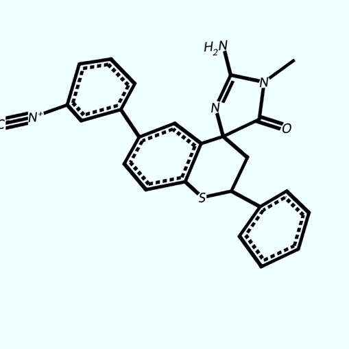 [C-]#[N+]c1cccc(-c2ccc3c(c2)C2(CC(c4ccccc4)S3)N=C(N)N(C)C2=O)c1